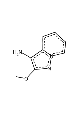 COc1nn2ccccc2c1N